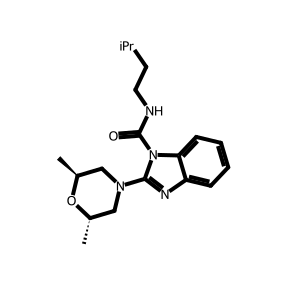 CC(C)CCNC(=O)n1c(N2C[C@H](C)O[C@@H](C)C2)nc2ccccc21